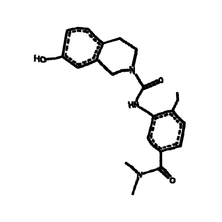 Cc1ccc(C(=O)N(C)C)cc1NC(=O)N1CCc2ccc(O)cc2C1